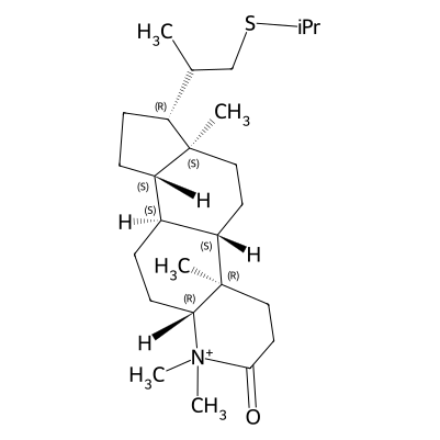 CC(C)SCC(C)[C@H]1CC[C@H]2[C@@H]3CC[C@@H]4[C@](C)(CCC(=O)[N+]4(C)C)[C@H]3CC[C@]12C